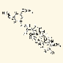 COc1cc(CNC(=O)[C@H]2CC[C@H]3[C@@H]4CC[C@H]5N(C)C(=O)C=C[C@]5(C)[C@H]4CC[C@]23C)cc(OC)c1